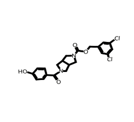 O=C(OCc1cc(Cl)cc(Cl)c1)N1CC2CN(C(=O)c3ccc(O)cc3)CC2C1